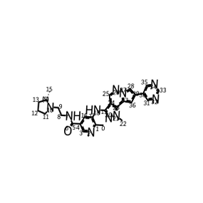 Cc1ncc(C(=O)NCCN2CCC[C@@H]2C)cc1Nc1nn(C)c2c1cnn1cc(-c3cncnc3)cc21